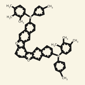 Cc1ccc(N(c2ccc3cc4c(cc3c2)oc2ccc3oc5cc6cc(N(c7ccc(C)cc7)c7ccc(C)c(C)c7C)ccc6cc5c3c24)c2ccc(C)c(C)c2C)cc1